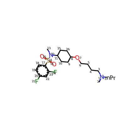 CCCN(C)CCCCOC1CCC(N(C)S(=O)(=O)c2ccc(F)cc2F)CC1